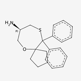 N[C@@H]1COC2(CCCC2)C(c2ccccc2)(c2ccccc2)SC1